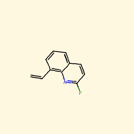 C=Cc1cccc2ccc(F)nc12